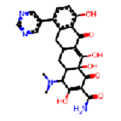 CN(C)C1C(O)=C(C(N)=O)C(=O)C2(O)C(O)=C3C(=O)c4c(O)ccc(-c5cncnc5)c4CC3CC12